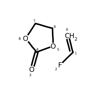 C=CF.O=C1OCCO1